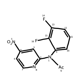 CC(=O)N(c1cc([N+](=O)[O-])ccn1)c1cccc(F)c1F